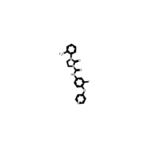 O=C(Nc1ccc(Oc2ccncc2)c(F)c1)N1CCN(c2ccccc2C(F)(F)F)C1=O